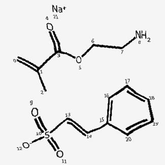 C=C(C)C(=O)OCCN.O=S(=O)([O-])C=Cc1ccccc1.[Na+]